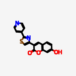 O=c1oc2cc(O)ccc2cc1-c1csc(-c2ccncc2)n1